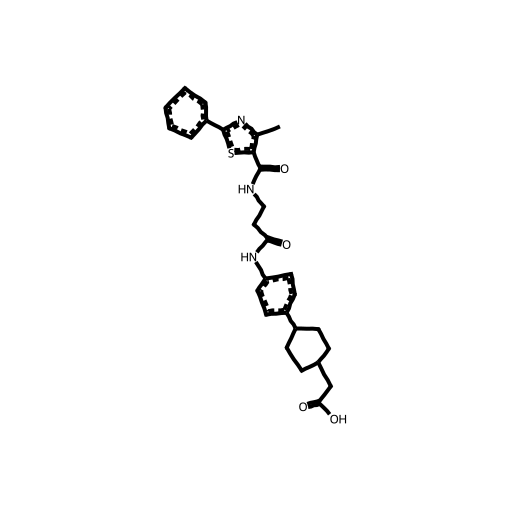 Cc1nc(-c2ccccc2)sc1C(=O)NCCC(=O)Nc1ccc(C2CCC(CC(=O)O)CC2)cc1